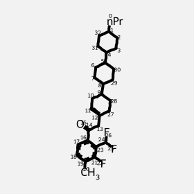 CCCC1CCC(C2CCC(C3CC=C(CC(=O)c4ccc(C)c(F)c4C(F)F)CC3)CC2)CC1